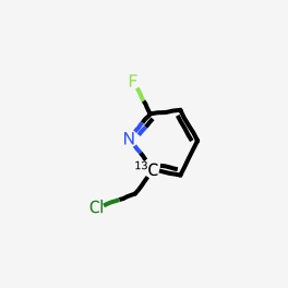 Fc1ccc[13c](CCl)n1